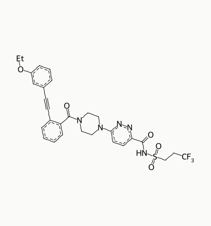 CCOc1cccc(C#Cc2ccccc2C(=O)N2CCN(c3ccc(C(=O)NS(=O)(=O)CCC(F)(F)F)nn3)CC2)c1